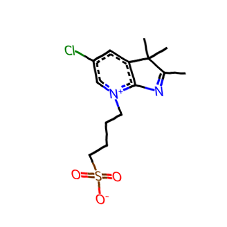 CC1=Nc2c(cc(Cl)c[n+]2CCCCS(=O)(=O)[O-])C1(C)C